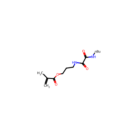 C=C(C)C(=O)OCCCNC(=O)C(=O)NCCCC